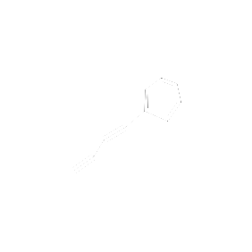 [C]#CC#Cc1cc[c]cc1